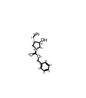 CC(C)C[C@H]1CN(C(=O)OCc2ccccc2)C[C@@H]1O